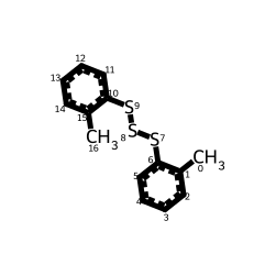 Cc1ccccc1SSSc1ccccc1C